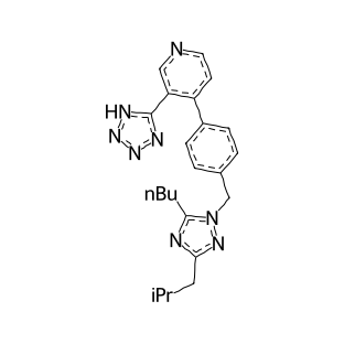 CCCCc1nc(CC(C)C)nn1Cc1ccc(-c2ccncc2-c2nnn[nH]2)cc1